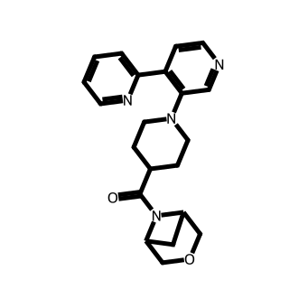 O=C(C1CCN(c2cnccc2-c2ccccn2)CC1)N1C2COCC1C2